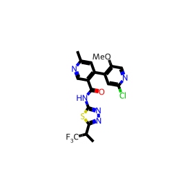 COc1cnc(Cl)cc1-c1cc(C)ncc1C(=O)Nc1nnc(C(C)C(F)(F)F)s1